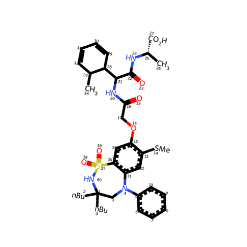 CCCCC1(CCCC)CN(c2ccccc2)c2cc(SC)c(OCC(=O)NC(C(=O)N[C@@H](C)C(=O)O)C3C=CC=CC3C)cc2S(=O)(=O)N1